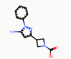 Nc1cc(C2CN(C(=O)O)C2)nn1-c1ccccc1